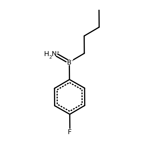 CCCC[B-](=[NH2+])c1ccc(F)cc1